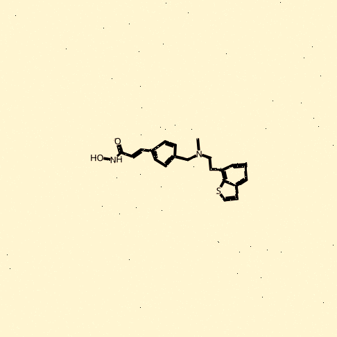 CN(CCc1cccc2ccsc12)Cc1ccc(/C=C/C(=O)NO)cc1